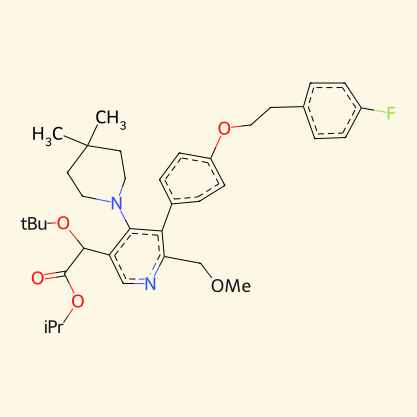 COCc1ncc(C(OC(C)(C)C)C(=O)OC(C)C)c(N2CCC(C)(C)CC2)c1-c1ccc(OCCc2ccc(F)cc2)cc1